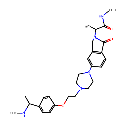 CCCC(C(=O)NC=O)N1Cc2cc(N3CCN(CCOc4ccc(C(C)NC=O)cc4)CC3)ccc2C1=O